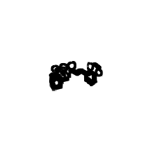 CC1(C)C2CCC13CN(C(=O)/C=C/c1cccc4c1OCCO4)S(=O)(=O)C3C2